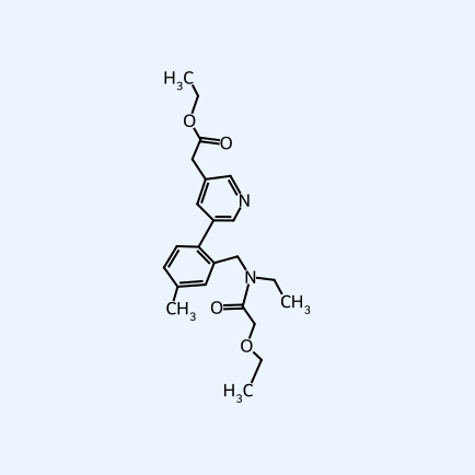 CCOCC(=O)N(CC)Cc1cc(C)ccc1-c1cncc(CC(=O)OCC)c1